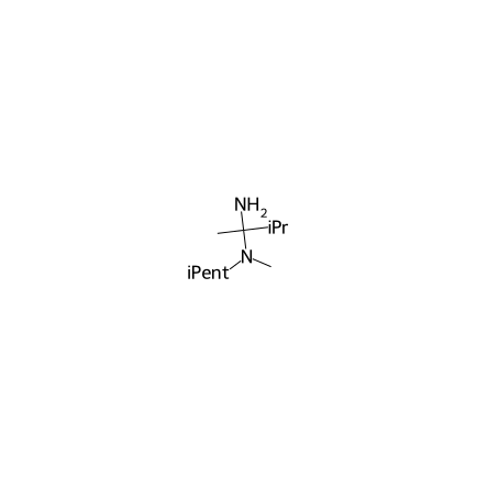 CCCC(C)N(C)C(C)(N)C(C)C